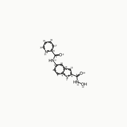 O=C(Nc1ccc2sc(C(=O)NO)cc2c1)c1ccccn1